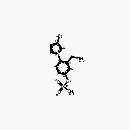 CCc1ccn(-c2ccc(OS(C)(=O)=O)cc2CN)c1